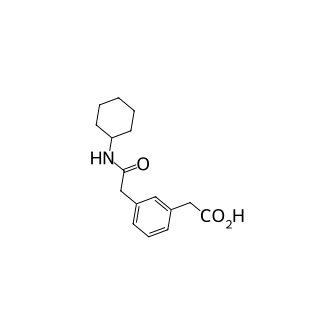 O=C(O)Cc1cccc(CC(=O)NC2CCCCC2)c1